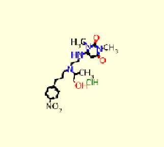 CC(CO)N(CCCc1ccc([N+](=O)[O-])cc1)CCNc1cc(=O)n(C)c(=O)n1C.Cl